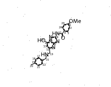 COc1ccc(C(=O)Nc2nc3nc(CNCc4ccc(C)cc4)cc(O)n3n2)cc1